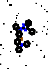 c1ccc(-c2nc(-n3c4ccccc4c4cc5c(cc43)sc3c5ccc4c5ccccc5n(-c5ccccc5)c43)nc3ccccc23)cc1